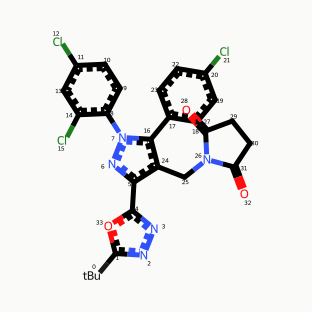 CC(C)(C)c1nnc(-c2nn(-c3ccc(Cl)cc3Cl)c(-c3ccc(Cl)cc3)c2CN2C(=O)CCC2=O)o1